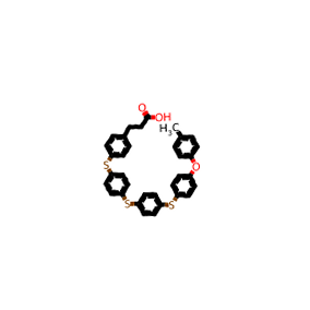 Cc1ccc(Oc2ccc(Sc3ccc(Sc4ccc(Sc5ccc(CCC(=O)O)cc5)cc4)cc3)cc2)cc1